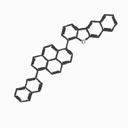 C1=CC2=C(c3ccc4ccccc4c3)C=CC3=CC=C4C(c5cccc6c5oc5cc7ccccc7cc56)=CC=C1C4C32